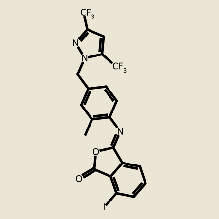 Cc1cc(Cn2nc(C(F)(F)F)cc2C(F)(F)F)ccc1/N=C1\OC(=O)c2c(I)cccc21